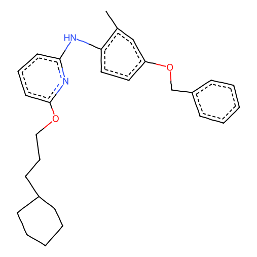 Cc1cc(OCc2ccccc2)ccc1Nc1cccc(OCCCC2CCCCC2)n1